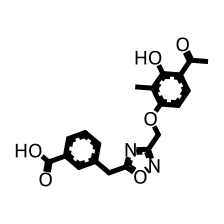 CC(=O)c1ccc(OCc2noc(Cc3cccc(C(=O)O)c3)n2)c(C)c1O